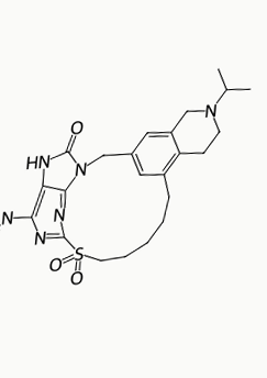 CC(C)N1CCc2c3cc(cc2C1)Cn1c(=O)[nH]c2c(N)nc(nc21)S(=O)(=O)CCCCC3